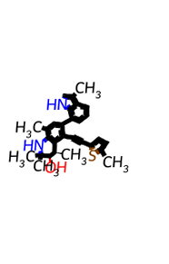 Cc1ccc(C#Cc2c(-c3cccc4c(C)c[nH]c34)cc(C)c3c2[C@H](C)[C@@H](O)C(C)(C)N3)s1